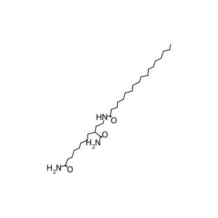 CCCCCCCCCCCCCCCCCC(=O)NCCC(CCCCCCCC(N)=O)C(N)=O